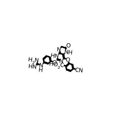 N#Cc1ccc(C(=O)O)c(OC2=C3NC(=O)CN=C3NC(Oc3cccc(NC(=N)N)c3)=N2)c1